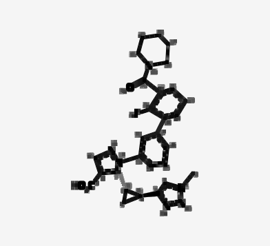 Cn1cc([C@H]2C[C@@H]2c2c(C(=O)O)cnn2-c2cccc(-c3cccc(C(=O)N4CCCCC4)c3F)c2)nn1